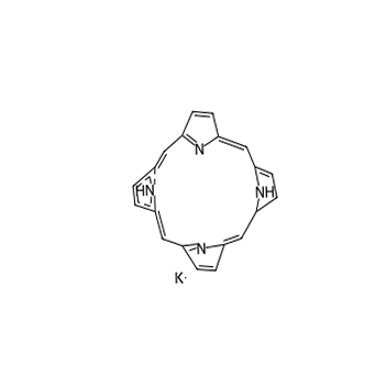 C1=CC2=NC1=CC1=CCC(C=C3C=CC(=N3)C=c3ccc([nH]3)=C2)N1.[K]